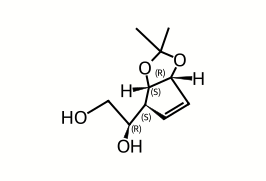 CC1(C)O[C@H]2[C@H]([C@@H](O)CO)C=C[C@H]2O1